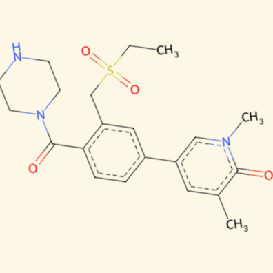 CCS(=O)(=O)Cc1cc(-c2cc(C)c(=O)n(C)c2)ccc1C(=O)N1CCNCC1